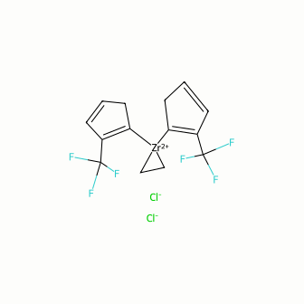 FC(F)(F)C1=[C]([Zr+2]2([C]3=C(C(F)(F)F)C=CC3)[CH2][CH2]2)CC=C1.[Cl-].[Cl-]